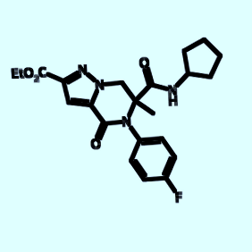 CCOC(=O)c1cc2n(n1)CC(C)(C(=O)NC1CCCC1)N(c1ccc(F)cc1)C2=O